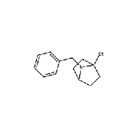 [CH2]CC12CCC(CC1)N2Cc1ccccc1